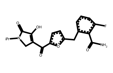 CC(C)N1CC(C(=O)c2ccc(Cc3cccc(F)c3C(N)=O)o2)=C(O)C1=O